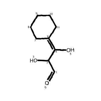 O=CC(O)C(O)=C1CCCCC1